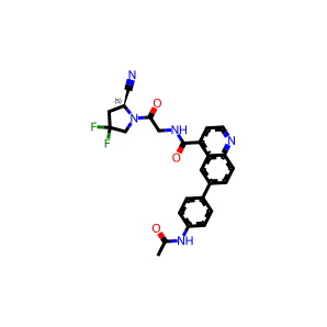 CC(=O)Nc1ccc(-c2ccc3nccc(C(=O)NCC(=O)N4CC(F)(F)C[C@H]4C#N)c3c2)cc1